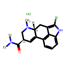 CCN(CC)C(=O)[C@@H]1C=C2c3cccc4[nH]c(Br)c(c34)C[C@H]2N(C)C1.Cl